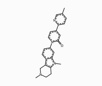 Cc1ccc(-c2ccn(-c3ccc4c5c(n(C)c4c3)CCN(C)C5)c(=O)c2)nc1